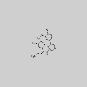 CCC[C@H](Nc1cncc(-c2ccc(O)c(OC)c2)n1)c1cccc(N)c1